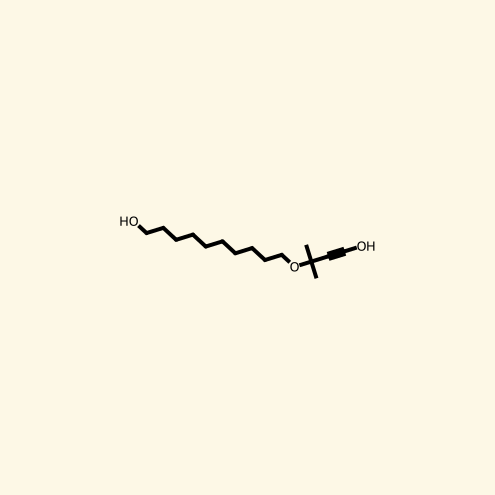 CC(C)(C#CO)OCCCCCCCCCCO